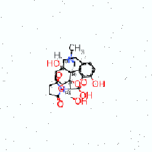 CN1CC[C@]23c4c5ccc(O)c4O[C@@]2([C@@](CO)(C(=O)O)N2C(=O)CCC2=O)C(=O)CC[C@@]3(O)[C@H]1C5